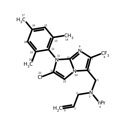 C=CCN(CCC)Cc1c(C(F)(F)F)nc2n(-c3c(C)cc(C)cc3C)c(Cl)cn12